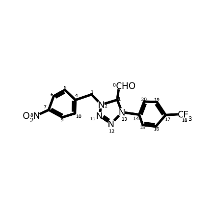 O=CC1N(Cc2ccc([N+](=O)[O-])cc2)N=NN1c1ccc(C(F)(F)F)cc1